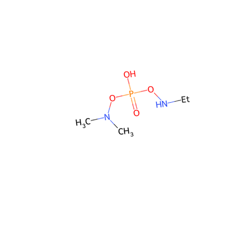 CCNOP(=O)(O)ON(C)C